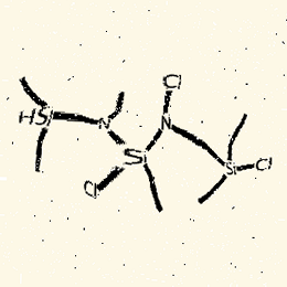 CN([SiH](C)C)[Si](C)(Cl)N(Cl)[Si](C)(C)Cl